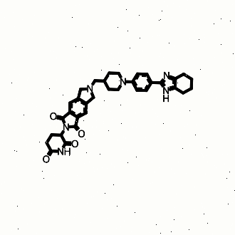 O=C1CCC(N2C(=O)c3cc4c(cc3C2=O)CN(CC2CCN(c3ccc(-c5nc6c([nH]5)CCCC6)cc3)CC2)C4)C(=O)N1